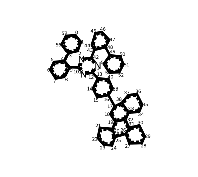 c1ccc(-c2ccccc2-c2nc(-c3ccc(-c4cc5c6ccccc6c6ccccc6c5c5ccccc45)cc3)nc(-c3ccccc3-c3ccccc3)n2)cc1